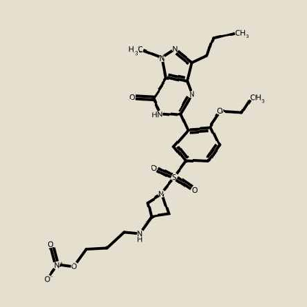 CCCc1nn(C)c2c(=O)[nH]c(-c3cc(S(=O)(=O)N4CC(NCCCO[N+](=O)[O-])C4)ccc3OCC)nc12